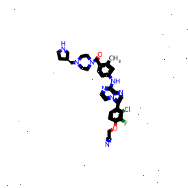 Cc1cc(Nc2nccn3c(-c4ccc(OCC#N)c(F)c4Cl)cnc23)ccc1C(=O)N1CCN(C[C@H]2CCNC2)CC1